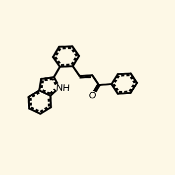 O=C(/C=C/c1ccccc1-c1cc2ccccc2[nH]1)c1ccccc1